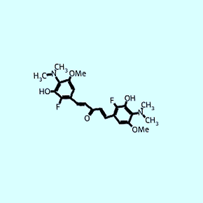 COc1cc(/C=C/C(=O)/C=C/c2cc(OC)c(N(C)C)c(O)c2F)c(F)c(O)c1N(C)C